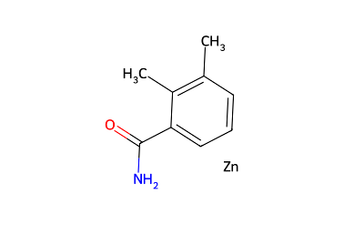 Cc1cccc(C(N)=O)c1C.[Zn]